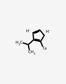 CC(C)C1=[C]([Ta])CC=C1.[H-].[H-]